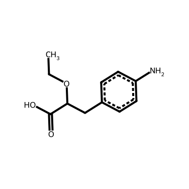 CCOC(Cc1ccc(N)cc1)C(=O)O